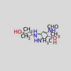 CC(C)(O)C1=CC(=N)/C(=C\NC2CC(C(C)(C)O)C2)C=C1NC=O